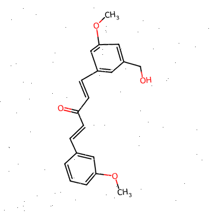 COc1cccc(/C=C/C(=O)/C=C/c2cc(CO)cc(OC)c2)c1